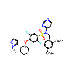 COc1ccc(CN(c2ccncn2)S(=O)(=O)c2cc(F)c(O[C@H]3CCCC[C@@H]3c3ccnn3C)cc2F)c(OC)c1